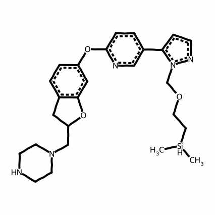 C[SiH](C)CCOCn1nccc1-c1ccc(Oc2ccc3c(c2)OC(CN2CCNCC2)C3)nc1